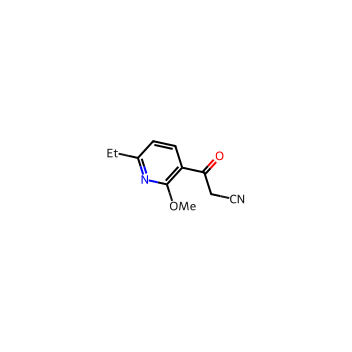 CCc1ccc(C(=O)CC#N)c(OC)n1